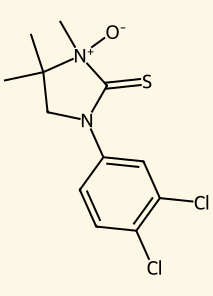 CC1(C)CN(c2ccc(Cl)c(Cl)c2)C(=S)[N+]1(C)[O-]